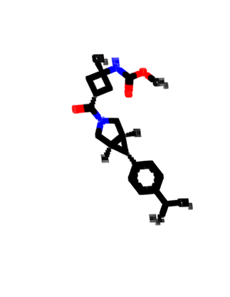 COC(=O)N[C@]1(C)C[C@H](C(=O)N2C[C@@H]3[C@H](C2)[C@H]3c2ccc(C(C)C)cc2)C1